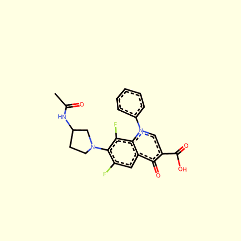 CC(=O)NC1CCN(c2c(F)cc3c(=O)c(C(=O)O)cn(-c4ccccc4)c3c2F)C1